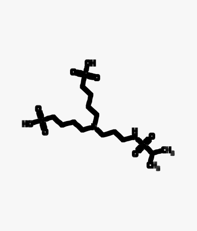 CC(C)S(=O)(=O)NCCCN(CCCCS(=O)(=O)O)CCCCS(=O)(=O)O